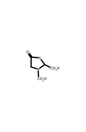 O=C1CN(C(=O)O)C(C(=O)O)S1